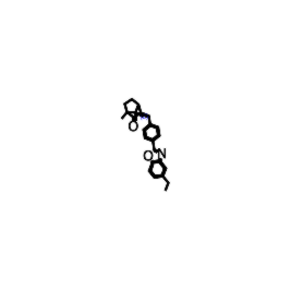 CCc1ccc2oc(-c3ccc(/C=C4\C(=O)C5(C)CCC4C5(C)C)cc3)nc2c1